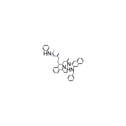 C=CC1=NC(CC(=C)N(C)c2cc3ccccc3cc2NCc2ccccc2)C(CCC(=C)/C=C(\C)Nc2ccccc2)c2ccccc21